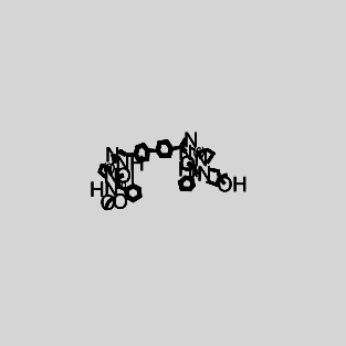 COC(=O)N[C@@H](C(=O)N1CCC[C@H]1c1ncc(-c2ccc(-c3ccc(-c4cnc([C@@H]5CCCN5C(=O)[C@@H](c5ccccc5)N5CCC(C)(O)CC5)[nH]4)cc3)cc2)[nH]1)c1ccccc1I